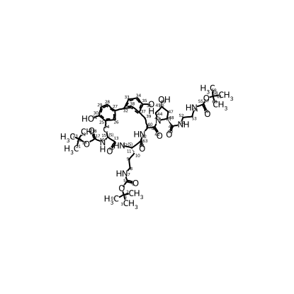 CC(C)(C)OC(=O)NCCC[C@@H]1NC(=O)[C@@H](NC(=O)OC(C)(C)C)Cc2cc(ccc2O)-c2ccc(O)c(c2)C[C@@H](C(=O)N2C[C@H](O)C[C@H]2C(=O)NCCNC(=O)OC(C)(C)C)NC1=O